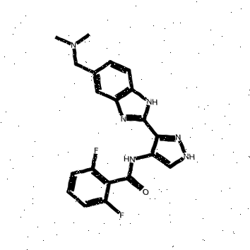 CN(C)Cc1ccc2[nH]c(-c3n[nH]cc3NC(=O)c3c(F)cccc3F)nc2c1